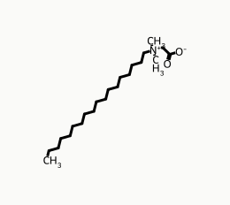 CCCCCCCCCCCCCCCCCC[N+](C)(C)CC(=O)[O-]